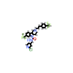 O=C(NCc1ccnc(Cl)c1)n1c2c(c3ccc(C(F)(F)F)cc31)CN(CC=Cc1ccc(C(F)(F)F)cc1)CC2